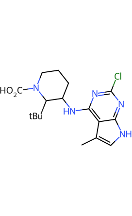 Cc1c[nH]c2nc(Cl)nc(NC3CCCN(C(=O)O)C3C(C)(C)C)c12